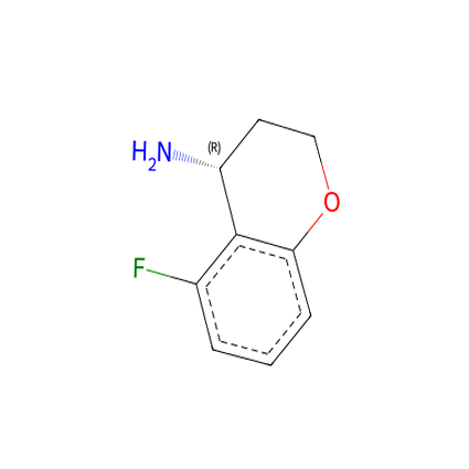 N[C@@H]1CCOc2cccc(F)c21